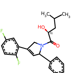 CC(C)C[C@H](O)C(=O)N1CC(c2cc(F)ccc2F)=CC1c1ccccc1